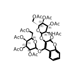 CC(=O)N[C@H]1C(Oc2c(OC3O[C@H](COC(C)=O)[C@H](OC(C)=O)[C@H](OC(C)=O)[C@H]3OC(C)=O)c3ccccc3oc2=O)O[C@H](COC(C)=O)[C@@H](OC(C)=O)[C@@H]1OC(C)=O